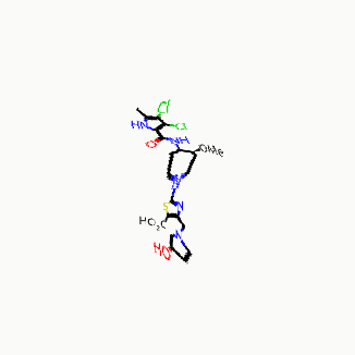 CO[C@H]1CN(c2nc(CN3CCC(O)C3)c(C(=O)O)s2)CC[C@H]1NC(=O)c1[nH]c(C)c(Cl)c1Cl